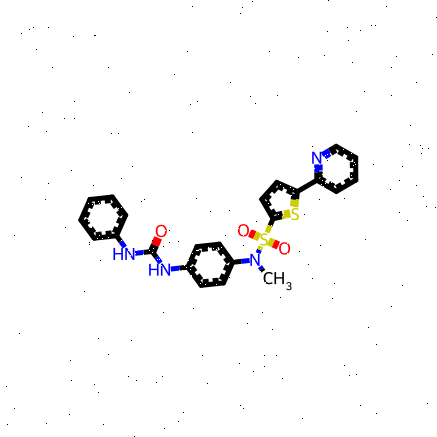 CN(c1ccc(NC(=O)Nc2ccccc2)cc1)S(=O)(=O)c1ccc(-c2ccccn2)s1